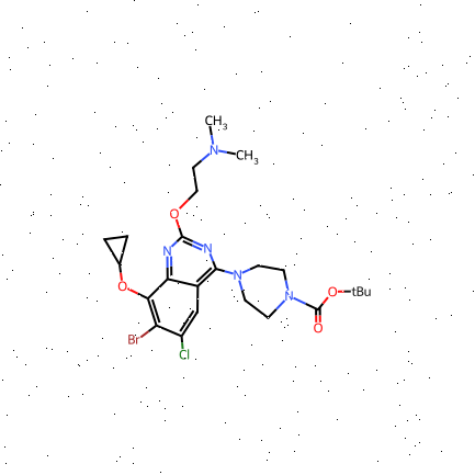 CN(C)CCOc1nc(N2CCN(C(=O)OC(C)(C)C)CC2)c2cc(Cl)c(Br)c(OC3CC3)c2n1